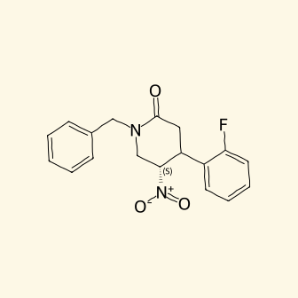 O=C1CC(c2ccccc2F)[C@H]([N+](=O)[O-])CN1Cc1ccccc1